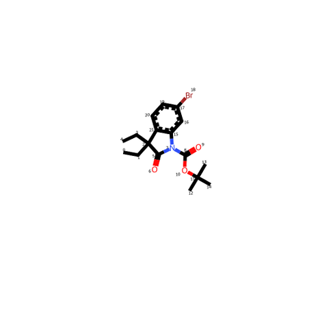 CCC1(CC)C(=O)N(C(=O)OC(C)(C)C)c2cc(Br)ccc21